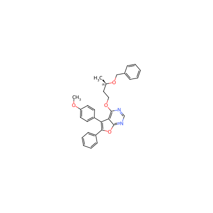 COc1ccc(-c2c(-c3ccccc3)oc3ncnc(OCC[C@@H](C)OCc4ccccc4)c23)cc1